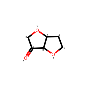 O=C1COC2CCOC12